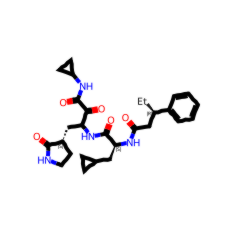 CC[C@H](CC(=O)N[C@@H](CC1CC1)C(=O)NC(C[C@@H]1CCNC1=O)C(=O)C(=O)NC1CC1)c1ccccc1